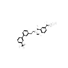 O=C(NO)c1ccc2ncn(CCc3cccc(-c4cccc(C(F)(F)F)c4)c3)c(=O)c2c1